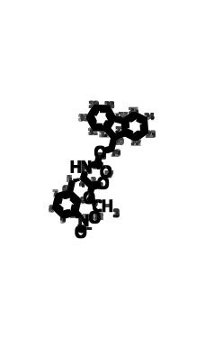 COC(=O)[C@H](Cc1cccc([N+](=O)[O-])c1)NC(=O)OCC1c2ccccc2-c2ccccc21